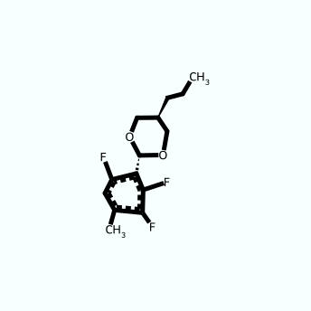 CCC[C@H]1CO[C@H](c2c(F)cc(C)c(F)c2F)OC1